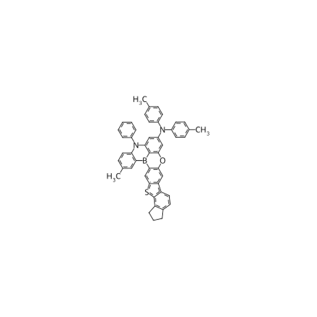 Cc1ccc(N(c2ccc(C)cc2)c2cc3c4c(c2)N(c2ccccc2)c2ccc(C)cc2B4c2cc4sc5c6c(ccc5c4cc2O3)CCC6)cc1